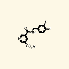 O=C(O)c1cncc(C(=O)NCc2ccc(F)c(F)c2)c1